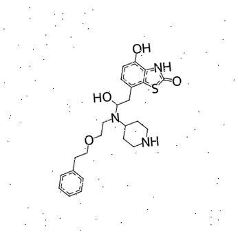 O=c1[nH]c2c(O)ccc(CC(O)N(CCOCCc3ccccc3)C3CCNCC3)c2s1